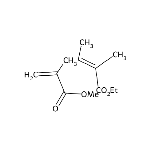 C=C(C)C(=O)OC.CC=C(C)C(=O)OCC